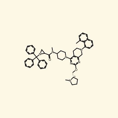 Cc1cccc2cccc(N3CCc4c(nc(OC[C@@H]5CCCN5C)nc4N4CCC(N(C)C(=O)C5CN5C(c5ccccc5)(c5ccccc5)c5ccccc5)CC4)C3)c12